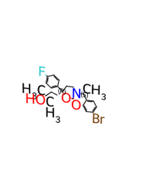 C[C@@H](c1ccc(Br)cc1)N1CC[C@](CCC(C)(C)O)(c2ccc(F)cc2)OC1=O